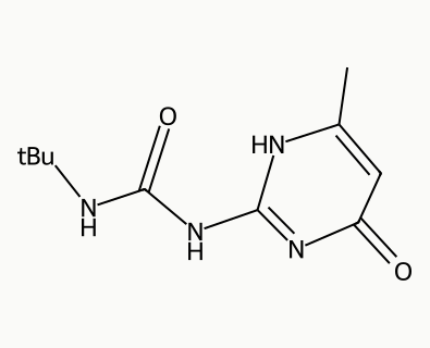 Cc1cc(=O)nc(NC(=O)NC(C)(C)C)[nH]1